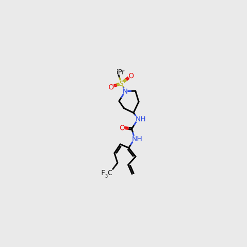 C=C/C=C(\C=C/CC(F)(F)F)NC(=O)NC1CCN(S(=O)(=O)C(C)C)CC1